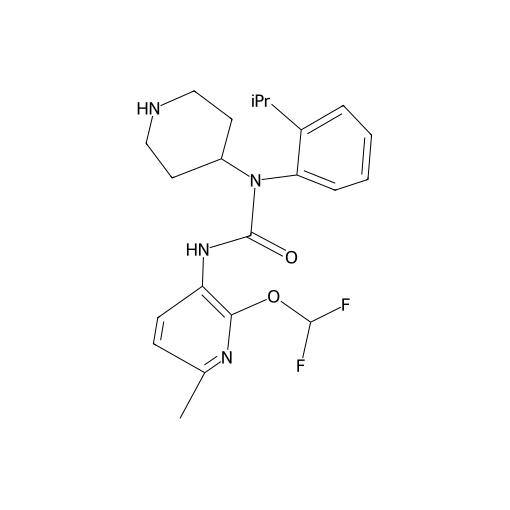 Cc1ccc(NC(=O)N(c2ccccc2C(C)C)C2CCNCC2)c(OC(F)F)n1